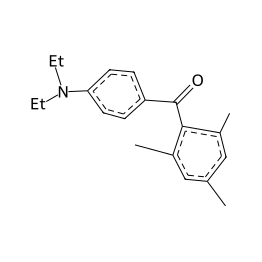 CCN(CC)c1ccc(C(=O)c2c(C)cc(C)cc2C)cc1